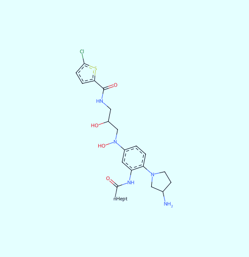 CCCCCCCC(=O)Nc1cc(N(O)CC(O)CNC(=O)c2ccc(Cl)s2)ccc1N1CCC(N)C1